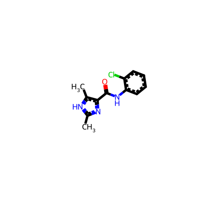 Cc1nc(C(=O)Nc2ccccc2Cl)c(C)[nH]1